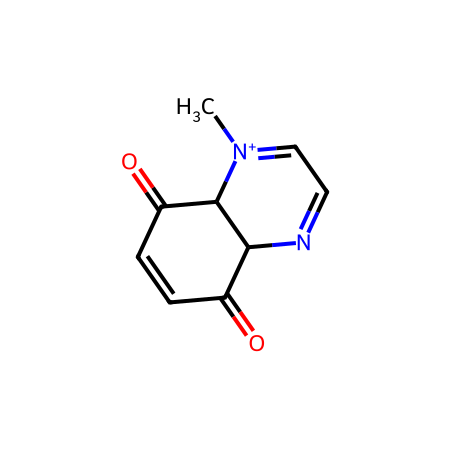 C[N+]1=CC=NC2C(=O)C=CC(=O)C21